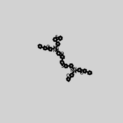 c1ccc(-c2ccc3c(c2)oc2cc(-c4nc(-c5cccc(-c6ccc7sc8ccc(-c9ccc%10oc%11cc(-c%12nc(-c%13cccc(-c%14cccc%15sc%16ccccc%16c%14%15)c%13)nc(-c%13ccc%14c(c%13)oc%13cc(-c%15ccccc%15)ccc%13%14)n%12)ccc%11c%10c9)cc8c7c6)c5)nc(-c5ccc6c(c5)oc5ccccc56)n4)ccc23)cc1